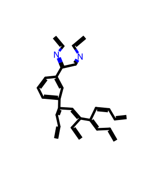 C=C\C=C/C(=C\C=C)C(/C=C)=C/C(=C\C=C)c1cccc(C(/C=N\C=C)=N/C=C)c1